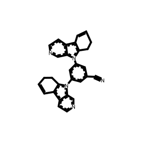 N#Cc1cc(-n2c3c(c4ccncc42)C=CCC3)cc(-n2c3c(c4ccncc42)C=CCC3)c1